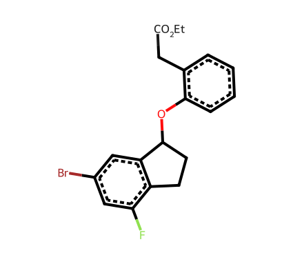 CCOC(=O)Cc1ccccc1OC1CCc2c(F)cc(Br)cc21